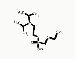 CCOCP(=O)(O)SCCN(C(C)C)C(C)C